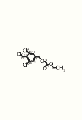 CCOC(=O)COCc1cc(Cl)c(CCl)c(Cl)c1